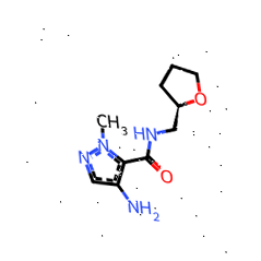 Cn1ncc(N)c1C(=O)NC[C@H]1CCCO1